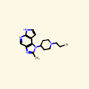 Cc1nc2cnc3[nH]ccc3c2n1C1CCN(CCC#N)CC1